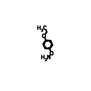 CCOc1ccc(ON)cc1